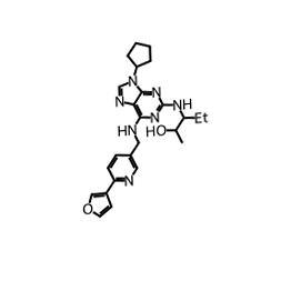 CCC(Nc1nc(NCc2ccc(-c3ccoc3)nc2)c2ncn(C3CCCC3)c2n1)C(C)O